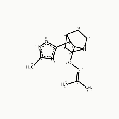 CC(N)=NOC1C(c2nc(C)no2)C2CCN1CC2